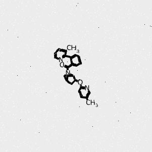 Cc1ccc(OC2CC3CC2N(C(=O)c2ccccc2-c2ncccc2C)C3)nc1